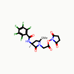 CSCC[C@](C)(NC(=O)c1c(F)c(F)c(F)c(F)c1F)C(=O)NCC(=O)ON1C(=O)CCC1=O